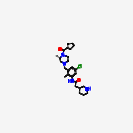 Cc1c(CN2CCN(C(=O)C3CCCC3)[C@@H](C)C2)cc(Cl)cc1NC(=O)CC1CCCNC1